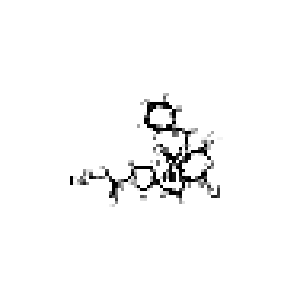 Cc1ccc(/C=C\[C@]2(NC(=O)OCc3ccccc3)CCN(C(=O)OC(C)(C)C)C2)c(Cl)n1